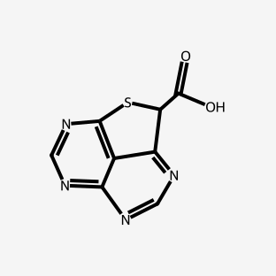 O=C(O)C1Sc2ncnc3ncnc1c23